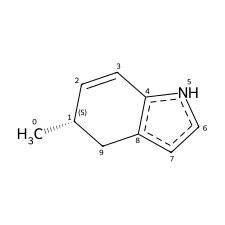 C[C@@H]1C=Cc2[nH]ccc2C1